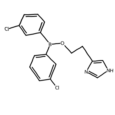 Clc1cccc(B(OCCc2c[nH]cn2)c2cccc(Cl)c2)c1